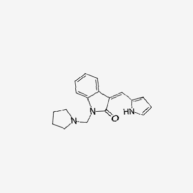 O=C1C(=Cc2ccc[nH]2)c2ccccc2N1CN1CCCC1